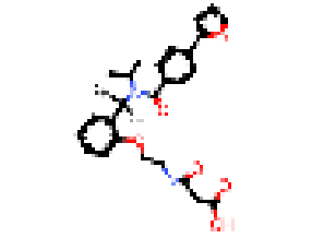 [2H]C([2H])(c1ccccc1OCCNC(=O)CC(=O)O)N(C(=O)c1ccc(-c2ccco2)cc1)C(C)C